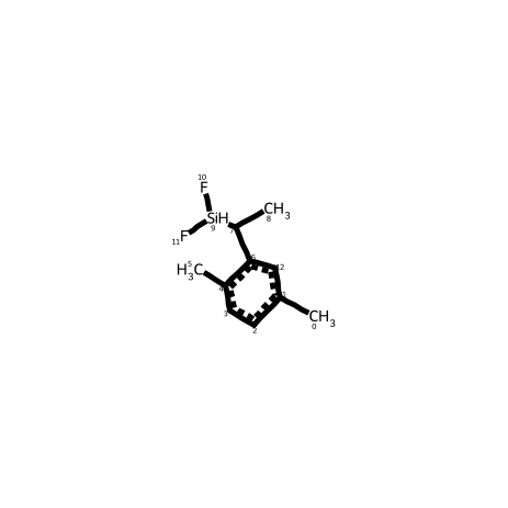 Cc1ccc(C)c(C(C)[SiH](F)F)c1